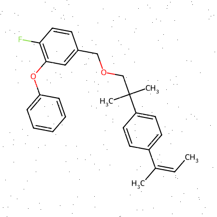 C/C=C(/C)c1ccc(C(C)(C)COCc2ccc(F)c(Oc3ccccc3)c2)cc1